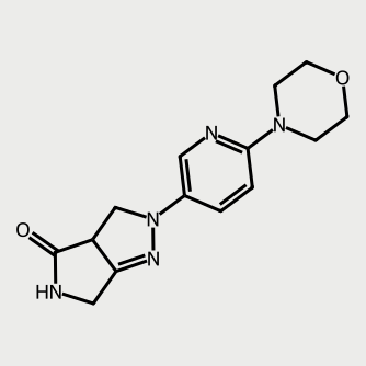 O=C1NCC2=NN(c3ccc(N4CCOCC4)nc3)CC12